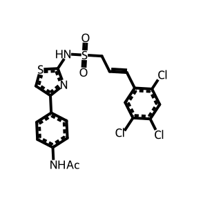 CC(=O)Nc1ccc(-c2csc(NS(=O)(=O)CC=Cc3cc(Cl)c(Cl)cc3Cl)n2)cc1